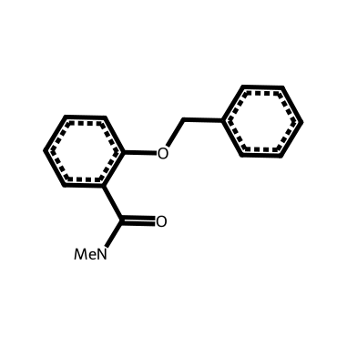 CNC(=O)c1ccccc1OCc1ccccc1